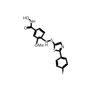 COc1cc(C(=O)NO)ccc1NSc1cnc(-c2ccc(F)cc2)s1